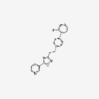 Fc1ccccc1-c1ccc(CCc2noc(-c3cccnc3)n2)cc1